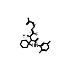 C=C(C)/C=C\C=C(/F)C(CC)C(C(=C)NC1=CC(C)CC=C1C)C1(C)CCCCC1